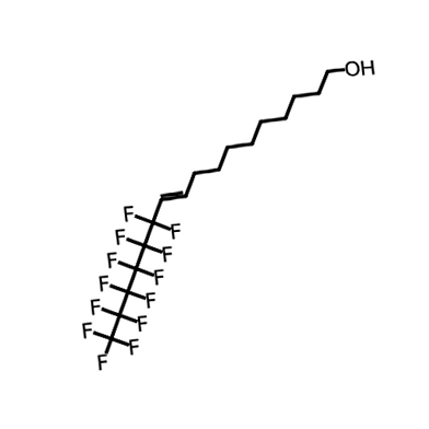 OCCCCCCCCCC=CC(F)(F)C(F)(F)C(F)(F)C(F)(F)C(F)(F)C(F)(F)F